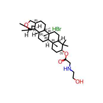 Br.CC1(C)CC[C@]23CC[C@]4(C)[C@H](CC[C@@H]5[C@@]6(C)CC[C@H](OC(=O)CNCCO)C(C)(C)[C@@H]6CC[C@]54C)[C@H]2[C@H]1OC3